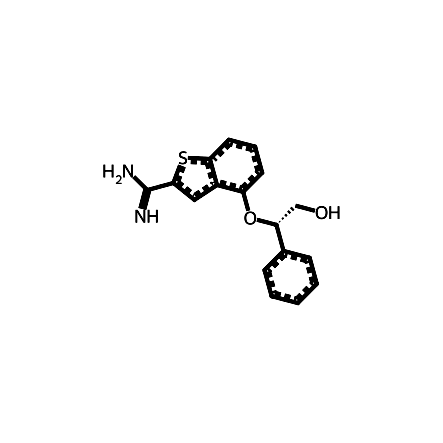 N=C(N)c1cc2c(O[C@H](CO)c3ccccc3)cccc2s1